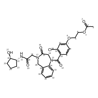 CC(=O)OCCOc1ccc(C(=O)N2CC(=O)N(CC(=O)N[C@@H]3CCC[C@H]3O)Cc3ccccc32)c(Cl)c1